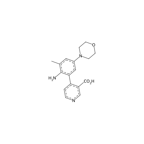 Cc1cc(N2CCOCC2)cc(-c2ccncc2C(=O)O)c1N